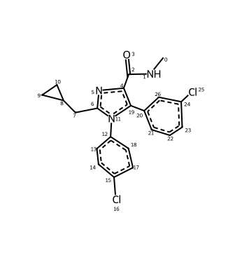 CNC(=O)c1nc(CC2CC2)n(-c2ccc(Cl)cc2)c1-c1cccc(Cl)c1